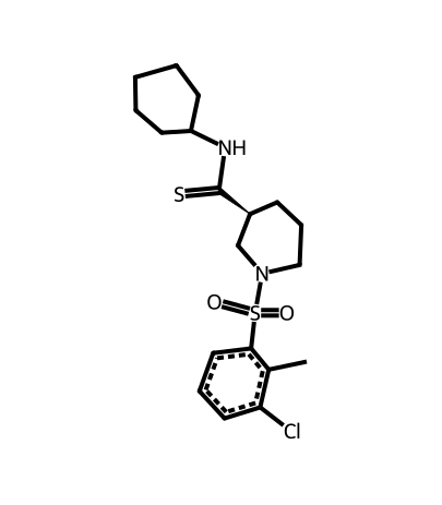 Cc1c(Cl)cccc1S(=O)(=O)N1CCC[C@H](C(=S)NC2CCCCC2)C1